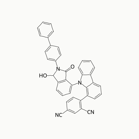 N#Cc1ccc(-c2cccc3c4ccccc4n(-c4cccc5c4C(=O)N(c4ccc(-c6ccccc6)cc4)C5O)c23)c(C#N)c1